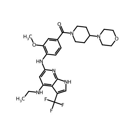 CCNc1cc(Nc2ccc(C(=O)N3CCC(N4CCOCC4)CC3)cc2OC)nc2[nH]cc(C(F)(F)F)c12